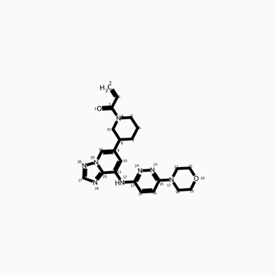 C=CC(=O)N1CCCC(c2cc(Nc3ccc(N4CCOCC4)nn3)c3ncnn3c2)C1